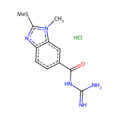 CSc1nc2ccc(C(=O)NC(=N)N)cc2n1C.Cl